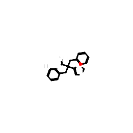 NC(C(=O)O)C(Cc1ccccc1)(Cc1ccccc1)C1=COCO1